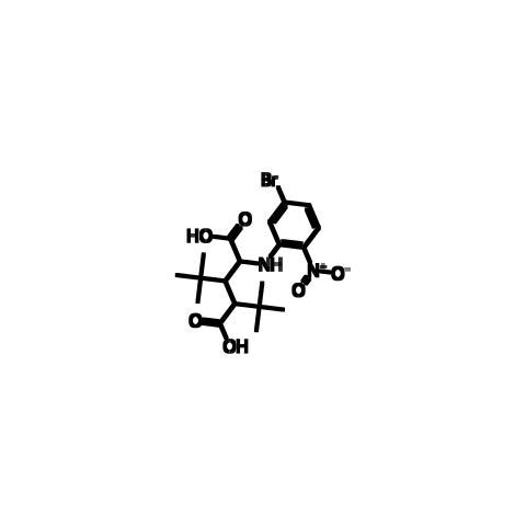 CC(C)(C)C(C(=O)O)C(C(Nc1cc(Br)ccc1[N+](=O)[O-])C(=O)O)C(C)(C)C